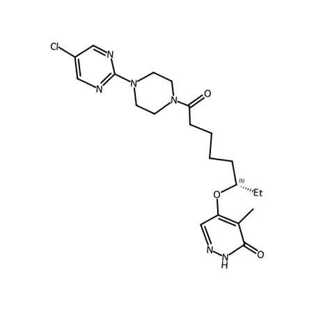 CC[C@@H](CCCCC(=O)N1CCN(c2ncc(Cl)cn2)CC1)Oc1cn[nH]c(=O)c1C